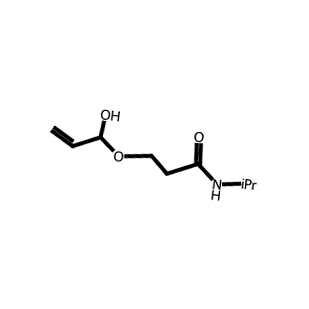 C=CC(O)OCCC(=O)NC(C)C